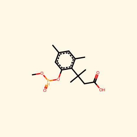 CO[PH](=O)Oc1cc(C)cc(C)c1C(C)(C)CC(=O)O